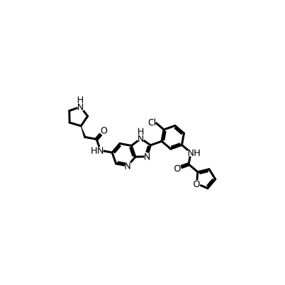 O=C(C[C@H]1CCNC1)Nc1cnc2nc(-c3cc(NC(=O)c4ccco4)ccc3Cl)[nH]c2c1